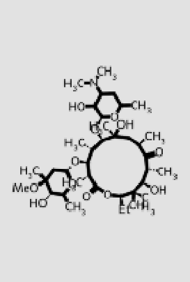 CC[C@H]1OC(=O)[C@H](C)[C@@H](O[C@H]2CC(C)(OC)[C@@H](O)C(C)O2)[C@H](C)[C@@H](O[C@@H]2OC(C)CC(N(C)C)C2O)[C@](C)(O)C[C@@H](C)C(=O)[C@H](C)[C@@H](O)[C@]1(C)O